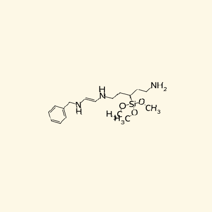 CO[Si](OC)(OC)C(CCN)CCNC=CNCc1ccccc1